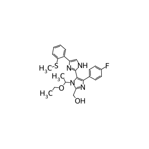 CCOC(C)n1c(CO)nc(-c2ccc(F)cc2)c1-c1nc(-c2ccccc2SC)c[nH]1